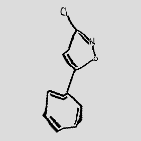 Clc1cc(-c2ccccc2)on1